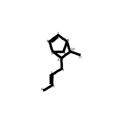 CC=CCC1C2C=CC(C2)C1C